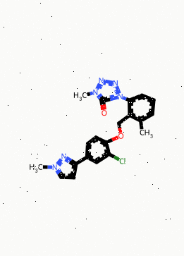 Cc1cccc(-n2nnn(C)c2=O)c1COc1ccc(-c2ccn(C)n2)cc1Cl